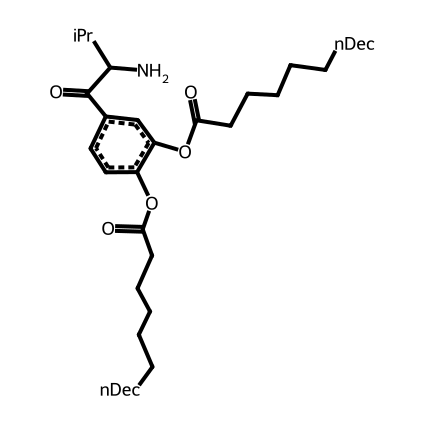 CCCCCCCCCCCCCCCC(=O)Oc1ccc(C(=O)C(N)C(C)C)cc1OC(=O)CCCCCCCCCCCCCCC